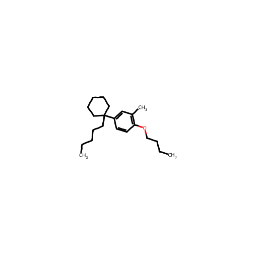 CCCCCC1(c2ccc(OCCCC)c(C)c2)CCCCC1